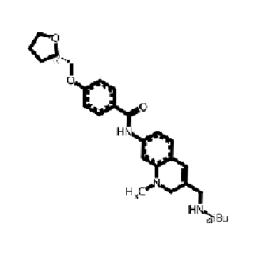 CC[C@H](C)NCC1=Cc2ccc(NC(=O)c3ccc(OC[C@@H]4CCCO4)cc3)cc2N(C)C1